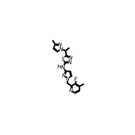 Cc1ccn(C(C)c2nnc(Nc3ccn(Cc4nccc(C)c4F)n3)s2)n1